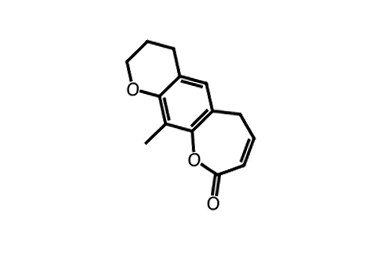 Cc1c2c(cc3c1OC(=O)C=CC3)CCCO2